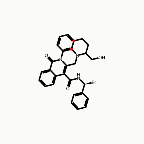 CC[C@H](NC(=O)c1c(CN2CCCCC2CO)n(-c2ccccc2)c(=O)c2ccccc12)c1ccccc1